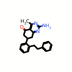 Cc1nc(N)nc2c1C(=O)CC(c1ccccc1CCc1ccccc1)C2